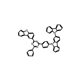 c1ccc(-c2nc(-c3ccc(-n4c5ccccc5c5ccc(-n6c7ccccc7c7ccccc76)cc54)cc3)nc(-c3ccc4sc5ccccc5c4c3)n2)cc1